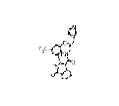 CN1C(=O)c2ccccc2C(C(=O)NCCCn2ccnc2)C1c1cc(C(F)(F)F)cc(C(F)(F)F)c1